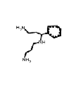 NCCCNC(CCN)c1ccccc1